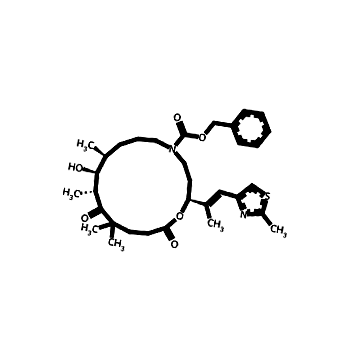 C/C(=C\c1csc(C)n1)[C@@H]1CCN(C(=O)OCc2ccccc2)CCC[C@H](C)[C@H](O)[C@@H](C)C(=O)C(C)(C)CCC(=O)O1